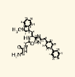 Cn1cc(CC(NC(=O)CNC(=O)CN)c2nc(Cc3ccc(-c4ccccc4)cc3)no2)c2ccccc21